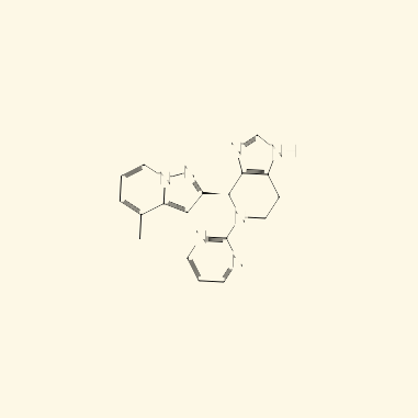 Cc1cccn2nc([C@H]3c4nc[nH]c4CCN3c3ncccn3)cc12